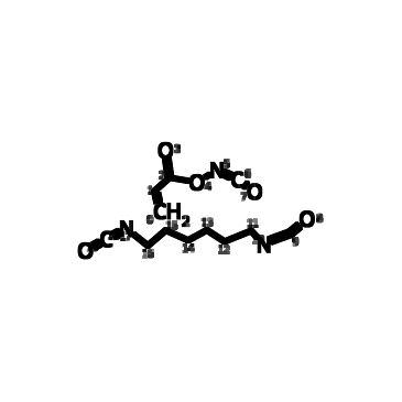 C=CC(=O)ON=C=O.O=C=NCCCCCCN=C=O